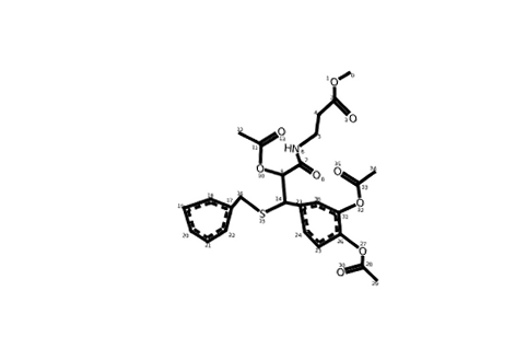 COC(=O)CCNC(=O)C(OC(C)=O)C(SCc1ccccc1)c1ccc(OC(C)=O)c(OC(C)=O)c1